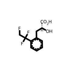 O=C(O)[C@H](O)Cc1ccccc1C(F)(F)CF